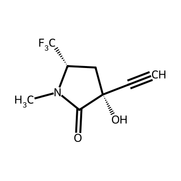 C#C[C@]1(O)C[C@@H](C(F)(F)F)N(C)C1=O